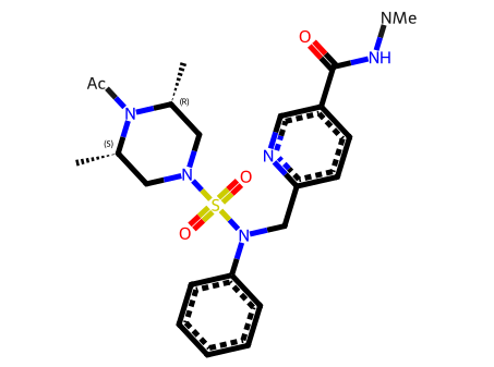 CNNC(=O)c1ccc(CN(c2ccccc2)S(=O)(=O)N2C[C@@H](C)N(C(C)=O)[C@@H](C)C2)nc1